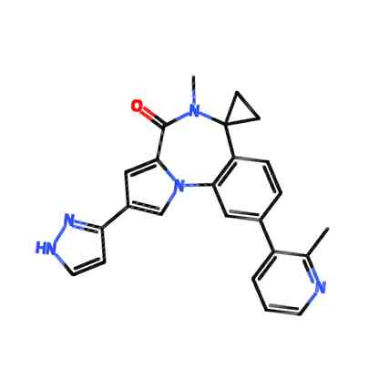 Cc1ncccc1-c1ccc2c(c1)-n1cc(-c3cc[nH]n3)cc1C(=O)N(C)C21CC1